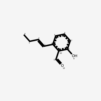 CCC=Cc1cccc(O)c1C=O